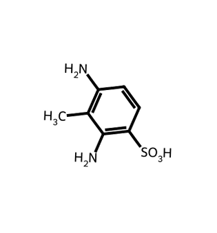 Cc1c(N)ccc(S(=O)(=O)O)c1N